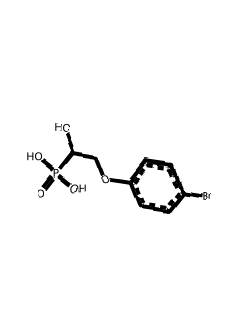 O=P(O)(O)C(O)COc1ccc(Br)cc1